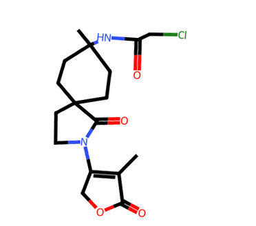 CC1=C(N2CCC3(CCC(C)(NC(=O)CCl)CC3)C2=O)COC1=O